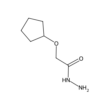 NNC(=O)COC1CCCC1